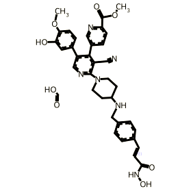 COC(=O)c1ccc(-c2c(-c3ccc(OC)c(O)c3)cnc(N3CCC(NCc4ccc(/C=C/C(=O)NO)cc4)CC3)c2C#N)cn1.O=CO